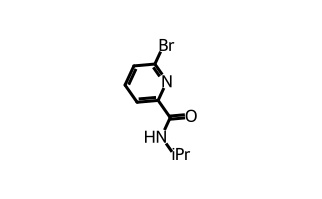 CC(C)NC(=O)c1cccc(Br)n1